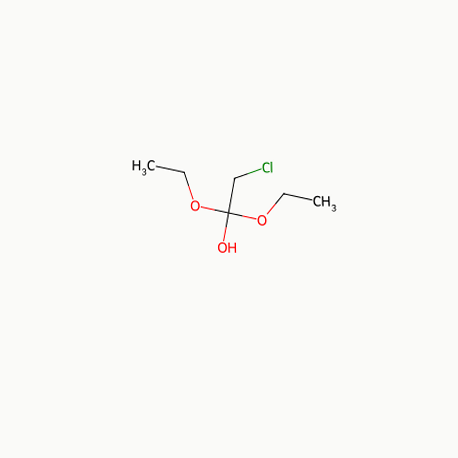 CCOC(O)(CCl)OCC